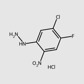 Cl.NNc1cc(Cl)c(F)cc1[N+](=O)[O-]